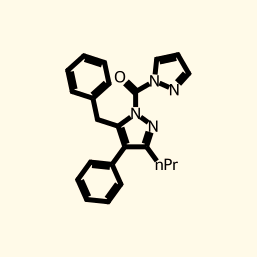 CCCc1nn(C(=O)n2cccn2)c(Cc2ccccc2)c1-c1ccccc1